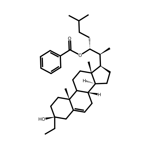 CC[C@]1(O)CC[C@@]2(C)C(=CC[C@@H]3C2CC[C@]2(C)[C@@H]([C@H](C)[C@@H](CCC(C)C)OC(=O)c4ccccc4)CC[C@@H]32)C1